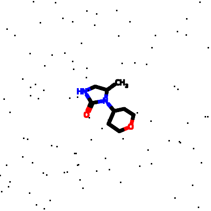 CC1CNC(=O)N1C1CCOCC1